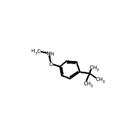 CNOc1ccc(C(C)(C)C)cc1